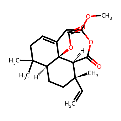 C=C[C@]1(C)CC[C@H]2C(C)(C)CC=C3C=C(OC)OC(=O)[C@@H]1[C@@]32OC=O